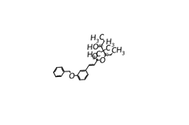 CC[C@H](O)C(C)(C)[C@@H](CC)OC(=O)C=Cc1cccc(OCc2ccccc2)c1